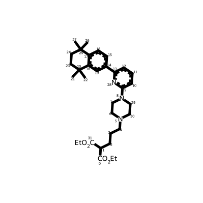 CCOC(=O)C(CCCN1CCN(c2cccc(-c3ccc4c(c3)C(C)(C)CCC4(C)C)n2)CC1)C(=O)OCC